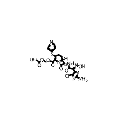 CC(C)(C)C(=O)OCOC(=O)C1=C(Sc2ccncc2)CC[C@@H]2[C@H](NC(=O)C(=NO)c3nc(N)sc3Cl)C(=O)N12